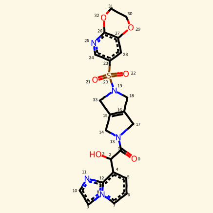 O=C(C(O)c1cccn2ccnc12)N1CC2=C(C1)CN(S(=O)(=O)c1cnc3c(c1)OCCO3)C2